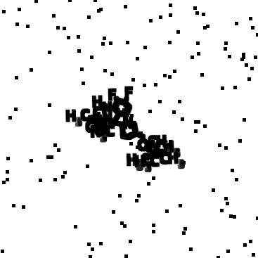 CC(C)(C)[S@@+]([O-])N[C@@](C)(c1ccc(F)c(F)c1)c1ccc(CO[Si](C)(C)C(C)(C)C)cn1